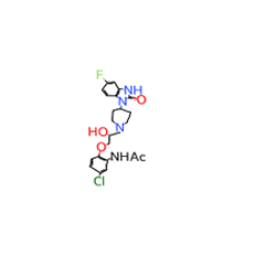 CC(=O)Nc1cc(Cl)ccc1OCC(O)CN1CCC(n2c(=O)[nH]c3cc(F)ccc32)CC1